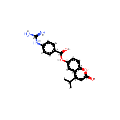 CC(C)c1cc(=O)oc2ccc(OC(=O)c3ccc(NC(=N)N)cc3)cc12